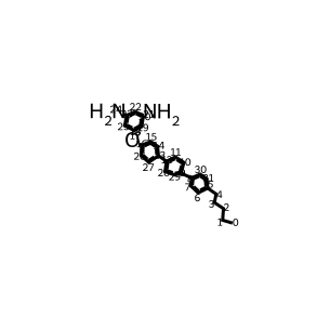 CCCCCc1ccc(-c2ccc(-c3ccc(Oc4cc(N)cc(N)c4)cc3)cc2)cc1